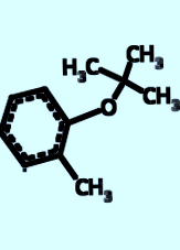 Cc1[c]cccc1OC(C)(C)C